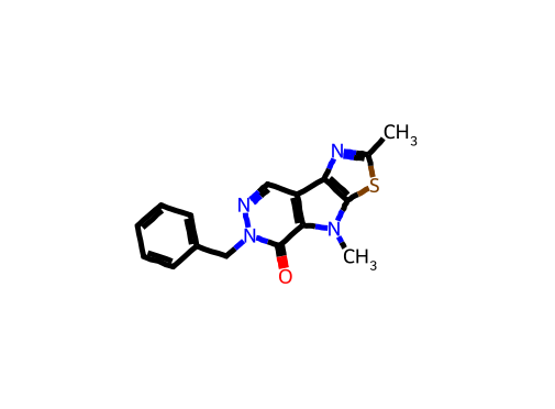 Cc1nc2c3cnn(Cc4ccccc4)c(=O)c3n(C)c2s1